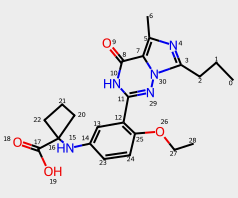 CCCc1nc(C)c2c(=O)[nH]c(-c3cc(NC4(C(=O)O)CCC4)ccc3OCC)nn12